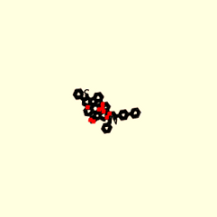 C1=CC(c2ccc(-c3cc(-c4ccc(-c5cccc6c5C5(c7ccccc7C7(c8ccccc8-c8ccccc87)c7ccccc75)c5ccc7c(sc8ccccc87)c5-6)cc4)nc(-c4ccccc4)n3)cc2)=CCC1